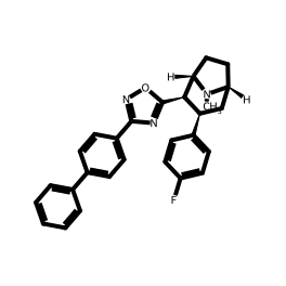 CN1[C@@H]2CC[C@H]1[C@H](c1nc(-c3ccc(-c4ccccc4)cc3)no1)[C@H](c1ccc(F)cc1)C2